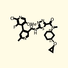 COc1cnc(Cl)c(F)c1-c1cc(C)ncc1C(=O)Nc1nnc(C(=O)N(C)[C@@H]2CCC[C@H](OC3CC3)C2)s1